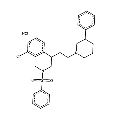 CN(CC(CCN1CCCC(c2ccccc2)C1)c1cccc(Cl)c1)S(=O)(=O)c1ccccc1.Cl